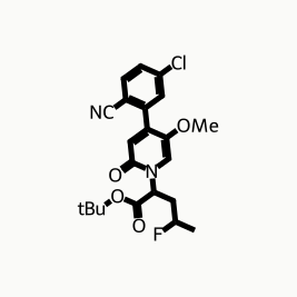 COc1cn(C(CC(C)F)C(=O)OC(C)(C)C)c(=O)cc1-c1cc(Cl)ccc1C#N